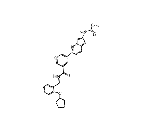 CC(=O)Nc1cn2nc(-c3cncc(C(=O)NCc4ccccc4OC4CCCC4)c3)ccc2n1